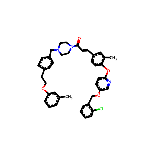 Cc1cccc(OCCc2ccc(CN3CCN(C(=O)/C=C/c4ccc(Oc5ccc(OCc6ccccc6Cl)cn5)c(C)c4)CC3)cc2)c1